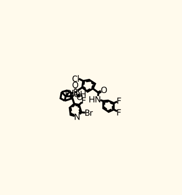 O=C(Nc1ccc(F)c(F)c1)c1ccc(Cl)c(S(=O)(=O)C2CC3CC(C2)C3(O)C(O)c2ccnc(Br)c2F)c1